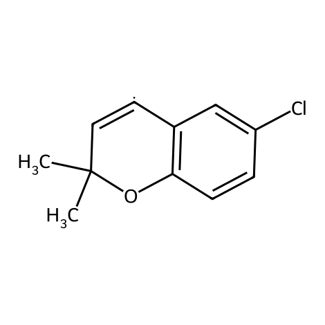 CC1(C)C=[C]c2cc(Cl)ccc2O1